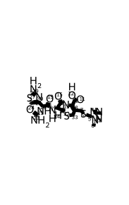 Cn1nnnc1SCC1=C(C(=O)O)N2C(=O)[C@H](NC(=O)C(NC(N)=O)c3csc(N)n3)[C@@H]2SC1